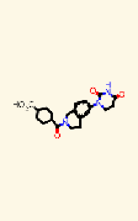 O=C1CCN(c2ccc3c(c2)CCN(C(=O)C2CCC(C(=O)O)CC2)C3)C(=O)N1